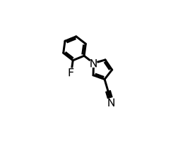 N#Cc1ccn(-c2ccccc2F)c1